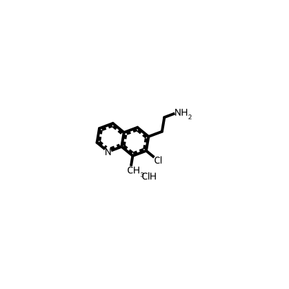 Cc1c(Cl)c(CCN)cc2cccnc12.Cl